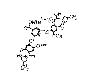 C=C1CC2C(O)N(C(=O)O)c3cc(OCc4cc(C(=O)OC)cc(COc5cc6c(cc5OC)C(=O)N5CC(=C)C[C@H]5C=N6)n4)c(OC)cc3C(=O)N2C1